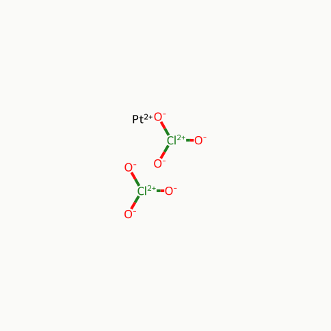 [O-][Cl+2]([O-])[O-].[O-][Cl+2]([O-])[O-].[Pt+2]